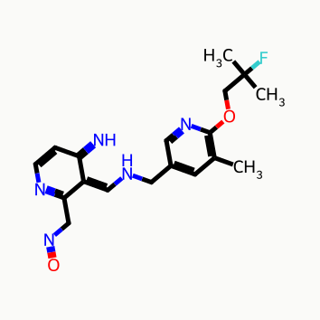 Cc1cc(CN/C=C2\C(=N)C=CN=C2CN=O)cnc1OCC(C)(C)F